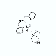 CC1(CCS(=O)(=O)N2C=C(Cc3ccccc3)N=Cc3ccccc32)CCNCC1